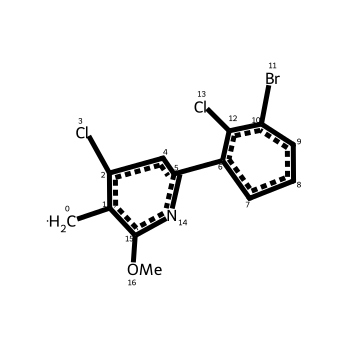 [CH2]c1c(Cl)cc(-c2cccc(Br)c2Cl)nc1OC